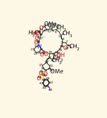 C=CCC1C=C(C)CC(C)CC(OC)C2CC(O)(C(=O)C(=O)N3CCCCC3C(=O)OC(C(C)=CC3CCC(OS(=O)(=O)c4ccc(I)cc4)C(OC)C3)C(C)C(O)CC1=O)C(C)OC2OC